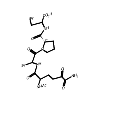 CC(=O)NC(CCC(=O)C(N)=O)C(=O)NC(C(=O)N1CCC[C@H]1C(=O)NC(CC(C)C)C(=O)O)C(C)C